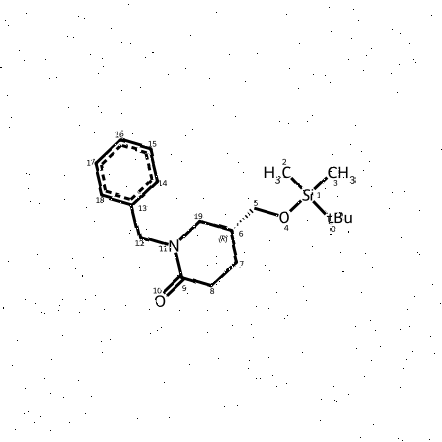 CC(C)(C)[Si](C)(C)OC[C@@H]1CCC(=O)N(Cc2ccccc2)C1